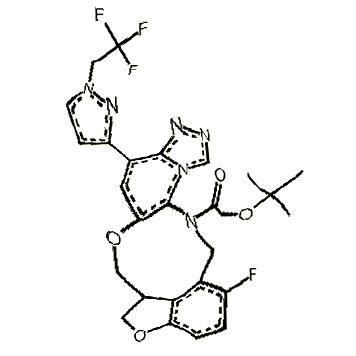 CC(C)(C)OC(=O)N1Cc2c(F)ccc3c2C(CO3)COc2cc(-c3ccn(CC(F)(F)F)n3)c3nncn3c21